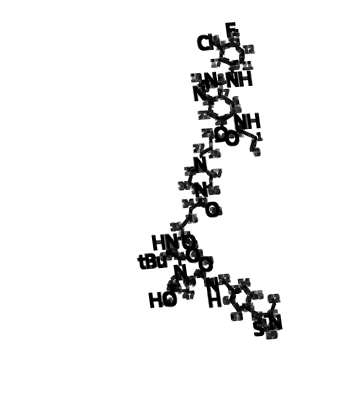 C=CC(=O)Nc1cc2c(Nc3ccc(F)c(Cl)c3)ncnc2cc1OCCCN1CCN(C(=O)CCCC(=O)N[C@H](C(=O)N2C[C@H](O)C[C@H]2C(=O)NCc2ccc(-c3scnc3C)cc2)C(C)(C)C)CC1